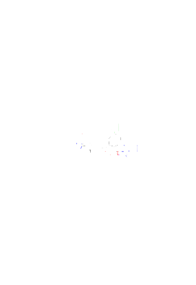 CCC(=O)N[C@H]1[C@@H]2C[C@](O)(c3cc(Cl)cc4[nH]ncc34)C[C@@H]21